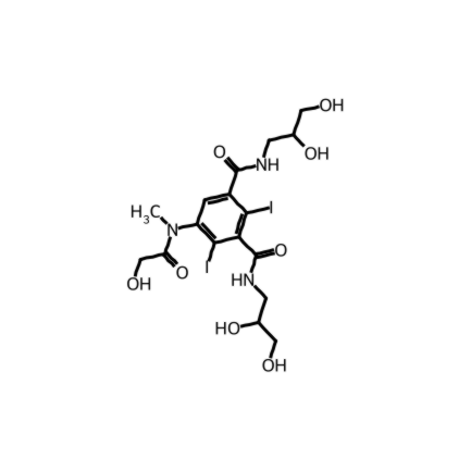 CN(C(=O)CO)c1cc(C(=O)NCC(O)CO)c(I)c(C(=O)NCC(O)CO)c1I